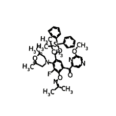 COc1cncc(C(=O)c2cc(CO[Si](c3ccccc3)(c3ccccc3)C(C)(C)C)c(N3C[C@@H](C)O[C@H](C)C3)c(F)c2ON=C(C)C)n1